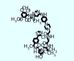 COc1cc(OC)c(Cl)c(NC(=O)N(C)c2cc(Nc3ccc(N4CCN(CC(=O)NCCC(=O)N[C@H](C(=O)N5C[C@H](O)C[C@H]5C(=O)N[C@H](C)c5ccc(-c6scnc6C)cc5)C(C)(C)C)CC4)cc3)ncn2)c1Cl